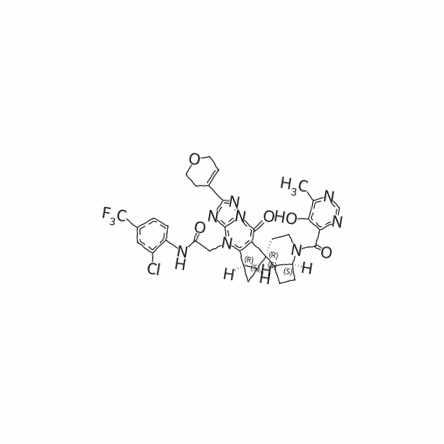 Cc1ncnc(C(=O)N2CC[C@]3(c4c(n(CC(=O)Nc5ccc(C(F)(F)F)cc5Cl)c5nc(C6=CCOCC6)nn5c4=O)[C@@H]4C[C@@H]43)[C@@H]3CC[C@@H]32)c1O